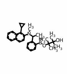 CC(c1ccccc1BOC(C)(C)C(C)(C)O)N(C)c1ccc2ccccc2c1C1CC1